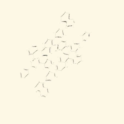 c1ccc(-c2nc(-c3ccccc3)nc(-c3ccc(-c4c(-c5ccc(-c6cccc7ncccc67)cc5)ccc5c(-c6ccccc6-c6nc(-c7ccccc7)nc(-c7ccc(-c8c(-c9ccc(-c%10ccnc%11ccccc%10%11)cc9)ccc9ccccc89)cc7)n6)cccc45)cc3)n2)cc1